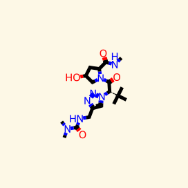 CNC(=O)C1CC(O)CN1C(=O)[C@@H](n1cc(CNC(=O)N(C)C)nn1)C(C)(C)C